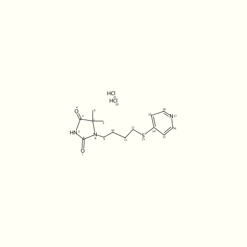 CC1(C)C(=O)NC(=O)N1CCCCSc1ccncc1.Cl.Cl